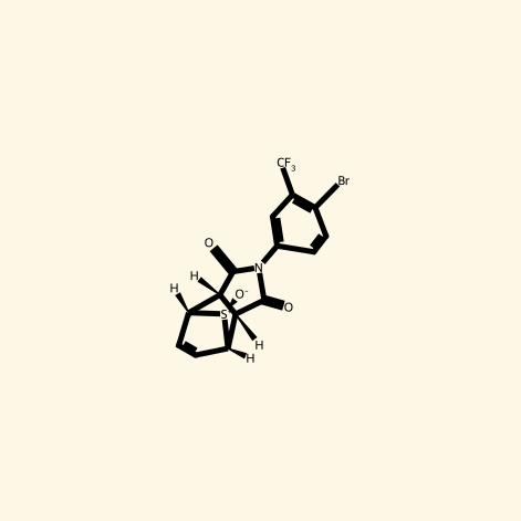 O=C1[C@@H]2[C@H](C(=O)N1c1ccc(Br)c(C(F)(F)F)c1)[C@@H]1C=C[C@H]2[S@@+]1[O-]